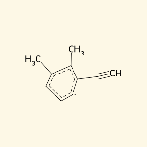 C#Cc1[c]ccc(C)c1C